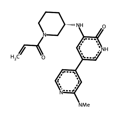 C=CC(=O)N1CCC[C@H](Nc2cc(-c3ccnc(NC)c3)c[nH]c2=O)C1